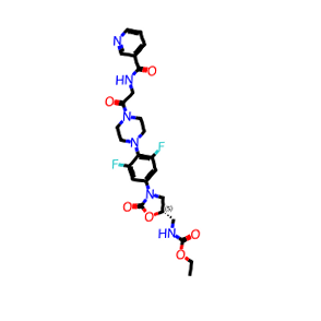 CCOC(=O)NC[C@H]1CN(c2cc(F)c(N3CCN(C(=O)CNC(=O)c4cccnc4)CC3)c(F)c2)C(=O)O1